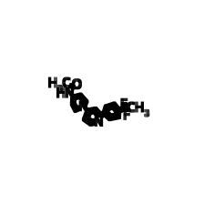 CC(=O)NC1CCN(c2ccnc(-c3ccc(C(C)(F)F)cc3)c2)CC1